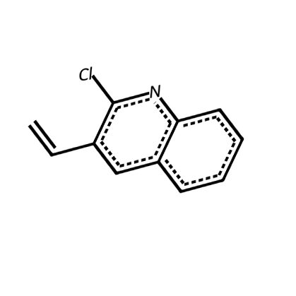 C=Cc1cc2ccccc2nc1Cl